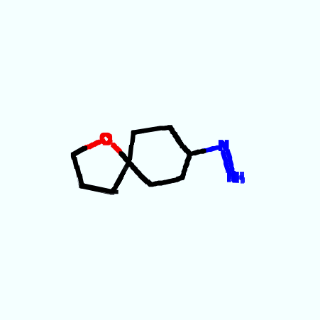 N=NC1CCC2([CH]CCO2)CC1